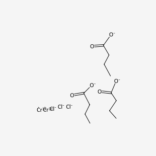 CCCC(=O)[O-].CCCC(=O)[O-].CCCC(=O)[O-].[Cl-].[Cl-].[Cl-].[Cr+3].[Cr+3]